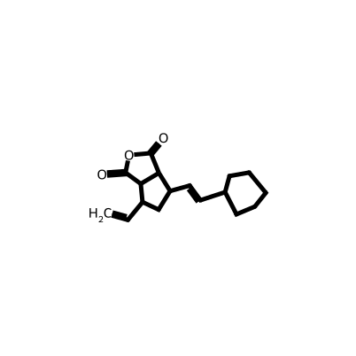 C=CC1CC(C=CC2CCCCC2)C2C(=O)OC(=O)C12